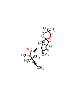 CC#CC(C)(C)C(C)[C@H](O)/C=C/[C@@H]1[C@H]2CC3(C[C@H]2C[C@H]1OC)OCC(C)(C)CO3